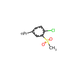 CC[CH]c1ccc(Cl)c(S(C)(=O)=O)c1